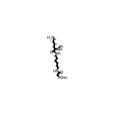 CCCCCCCCCCCC(=O)NCCCCCCNC(=O)C(CCCCN)NC(C)C